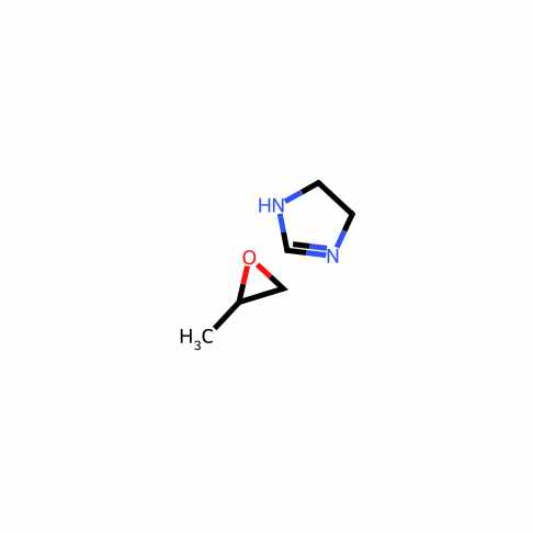 C1=NCCN1.CC1CO1